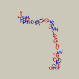 CC(C)(C)/C(O)=C/C(=N)NC(=O)Nc1ccc(-c2cn3c(n2)sc2cc(OCCN4CCN(CC(=O)NCCCOCCOCCOCCCNC(=O)COc5cccc6c5C(=O)N(C5CCC(=O)NC5=O)C6=O)CC4)ccc23)cc1